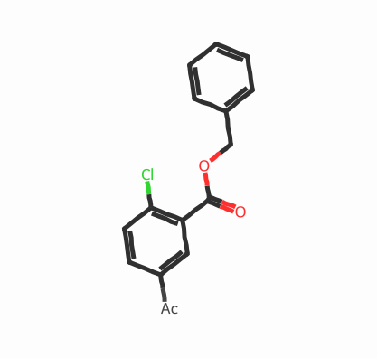 CC(=O)c1ccc(Cl)c(C(=O)OCc2ccccc2)c1